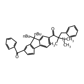 CCCCC1(CCCC)c2cc(C(=O)c3ccccc3)ccc2-c2ccc(C(=O)C(C)(Cc3ccccc3)N(C)C)cc21